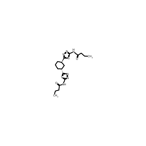 CCCC(=O)Nc1nnc([C@@H]2CCC[C@@H](c3nnc(NC(=O)CCC)s3)C2)s1